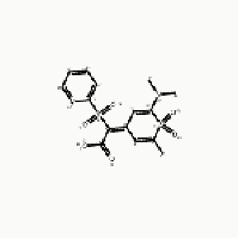 CC1=C/C(=C(\C(=O)C(F)(F)F)S(=O)(=O)c2ccccn2)C=C(N(C)C)S1(=O)=O